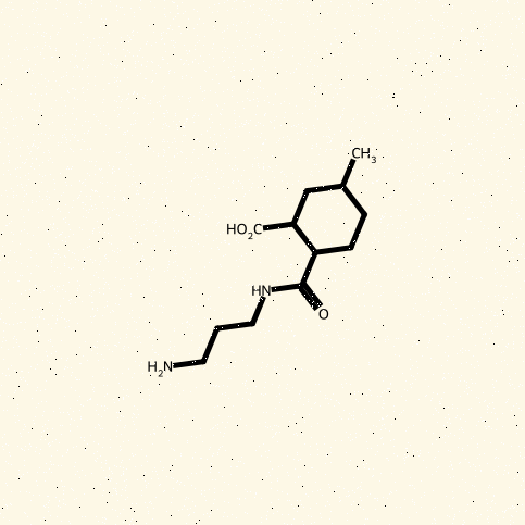 CC1CCC(C(=O)NCCCN)C(C(=O)O)C1